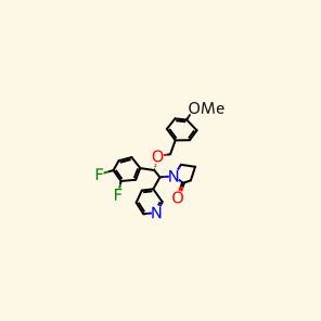 COc1ccc(CO[C@@H](c2ccc(F)c(F)c2)C(c2cccnc2)N2CCCC2=O)cc1